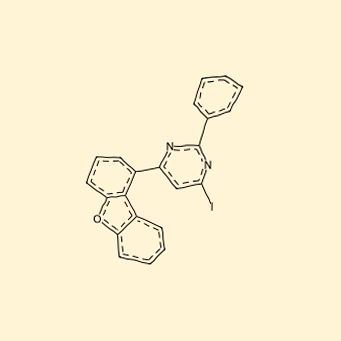 Ic1cc(-c2cccc3oc4ccccc4c23)nc(-c2ccccc2)n1